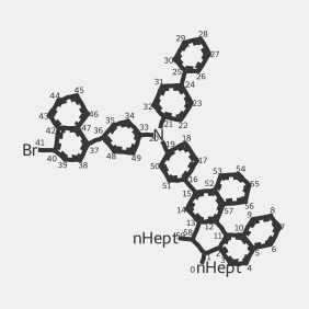 CCCCCCCC1c2ccc3ccccc3c2-c2c(cc(-c3ccc(N(c4ccc(-c5ccccc5)cc4)c4ccc(-c5ccc(Br)c6ccccc56)cc4)cc3)c3ccccc23)C1CCCCCCC